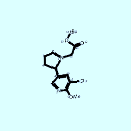 COc1ncc(C2CCCN2CC(=O)OC(C)(C)C)cc1Cl